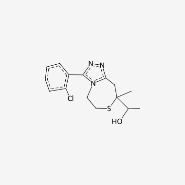 CC(O)C1(C)Cc2nnc(-c3ccccc3Cl)n2CCS1